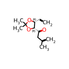 C=C[C@H]1OC(C)(C)O[C@H]1C(=O)CC(=C)C